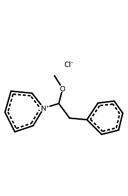 COC(Cc1ccccc1)[n+]1ccccc1.[Cl-]